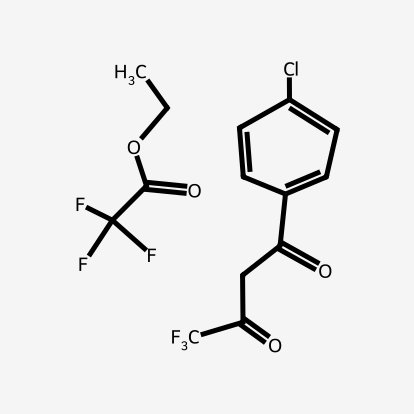 CCOC(=O)C(F)(F)F.O=C(CC(=O)C(F)(F)F)c1ccc(Cl)cc1